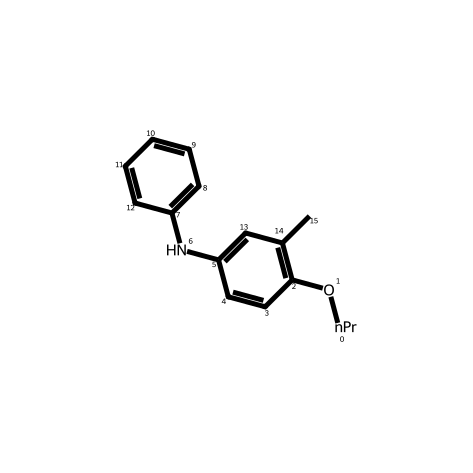 C[CH]COc1ccc(Nc2ccccc2)cc1C